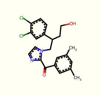 Cc1cc(C)cc(C(=O)c2nccn2CC(CCO)c2ccc(Cl)c(Cl)c2)c1